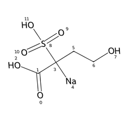 O=C(O)[C]([Na])(CCO)S(=O)(=O)O